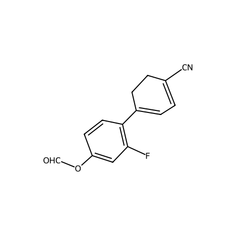 N#CC1=CC=C(c2ccc(OC=O)cc2F)CC1